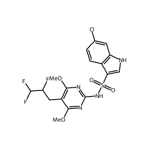 COc1nc(NS(=O)(=O)c2c[nH]c3cc(Cl)ccc23)nc(OC)c1CC(F)C(F)F